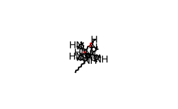 CCCCCCCC(Nc1nc(NC(CCCCCCC)C2CC(C)(C)NC(C)(C)C2)nc(N(C2CC(C)(C)NC(C)(C)C2)C2CC(C)(C)NC(C)(C)C2)n1)C1CC(C)(C)NC(C)(C)C1